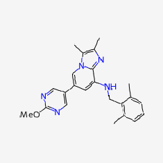 COc1ncc(-c2cc(NCc3c(C)cccc3C)c3nc(C)c(C)n3c2)cn1